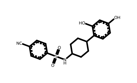 N#Cc1ccc(S(=O)(=O)NC2CCC(c3ccc(O)cc3O)CC2)cc1